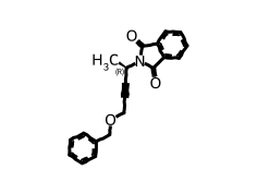 C[C@H](C#CCOCc1ccccc1)N1C(=O)c2ccccc2C1=O